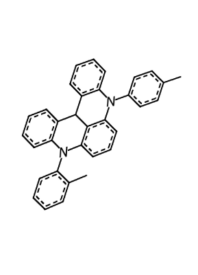 Cc1ccc(N2c3ccccc3C3c4ccccc4N(c4ccccc4C)c4cccc2c43)cc1